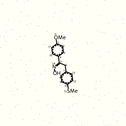 COc1ccc(/C(Cc2ccc(SC)cc2)=N/O)cc1